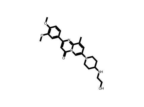 COc1ccc(-c2cc(=O)n3cc(N4CCC(NCCO)CC4)cc(C)c3n2)cc1OC